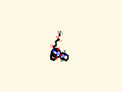 CCOC(=O)CCC(=O)c1nc2ccccc2n([C@H]2C[C@H]3CCC[C@@H](C2)N3C2CCCCCCCCC2)c1=O